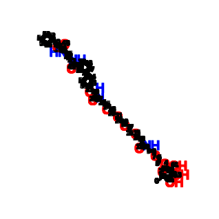 C[C@@H]1O[C@@H](OCCOCCNC(=O)CCOCCOCCOCCOCCNC(=O)COc2ccc(-c3cccc(C(=O)NCCNC(=O)OCc4ccccc4)c3)cc2)[C@H](O)[C@H](O)[C@H]1O